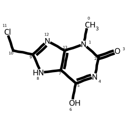 Cn1c(=O)nc(O)c2[nH]c(CCl)nc21